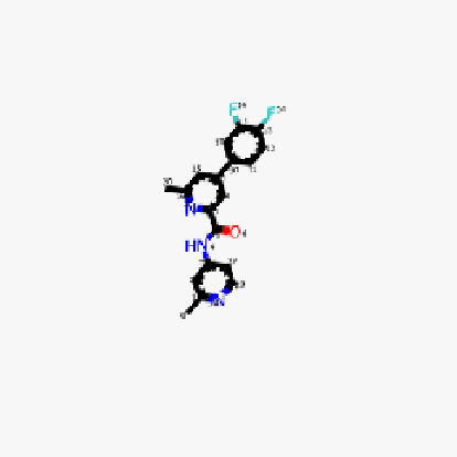 Cc1cc(NC(=O)c2cc(-c3ccc(F)c(F)c3)cc(C)n2)ccn1